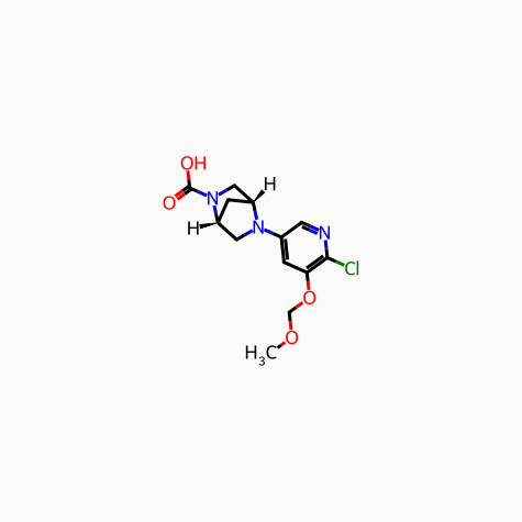 COCOc1cc(N2C[C@H]3C[C@@H]2CN3C(=O)O)cnc1Cl